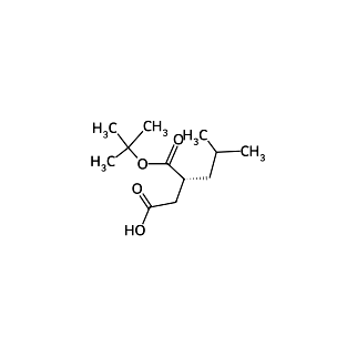 CC(C)C[C@H](CC(=O)O)C(=O)OC(C)(C)C